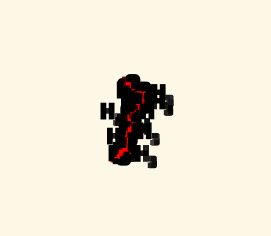 COc1cc2c(cc1OCCCC(=O)Nc1cc(C(=O)Nc3ccc(-c4cc(C)c(C(=O)Nc5ccc(NC(=O)[C@H](C)NC(=O)[C@@H](NC(=O)CCCCCN6C(=O)CCC6=O)C(C)C)cc5)s4)nc3)n(C)c1)N=C[C@@H]1CCCCN1C2=O